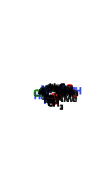 CNC(=O)COc1cc2cc(Nc3nc(N4CCC(CC5CCN(c6cccc7c(C8CCC(=O)NC8=O)nn(C)c67)CC5)CC4)ncc3Cl)cnc2n(C)c1=O